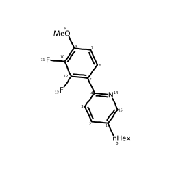 CCCCCCc1ccc(-c2ccc(OC)c(F)c2F)nc1